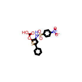 O=C(O)Oc1sc(-c2ccccc2)cc1NS(=O)(=O)c1ccc([N+](=O)[O-])cc1